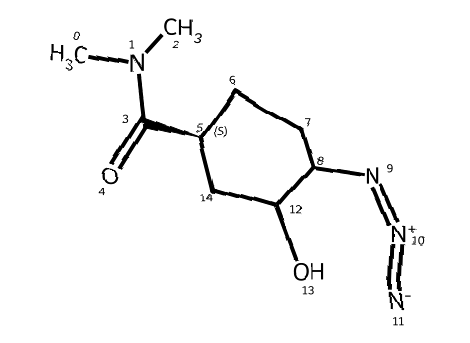 CN(C)C(=O)[C@H]1CCC(N=[N+]=[N-])C(O)C1